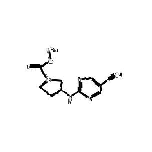 C#Cc1cnc(N[C@H]2CCN(C(=O)OCCCC)C2)nc1